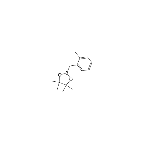 Cc1ccccc1CB1OC(C)(C)C(C)(C)O1